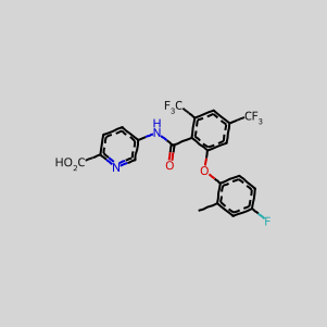 Cc1cc(F)ccc1Oc1cc(C(F)(F)F)cc(C(F)(F)F)c1C(=O)Nc1ccc(C(=O)O)nc1